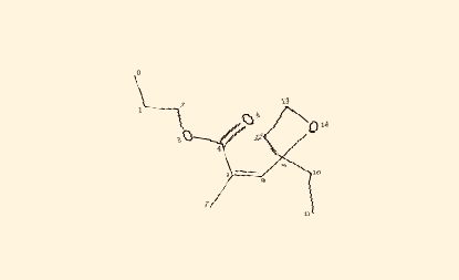 CCCOC(=O)C(C)=CC1(CC)CCO1